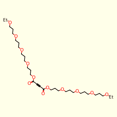 CCOCCCOCCCOCCCOCCCOC(=O)C#CC(=O)OCCCOCCCOCCCOCCCOCC